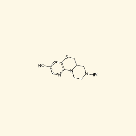 CC(C)N1CCN2c3ncc(C#N)cc3SCC2C1